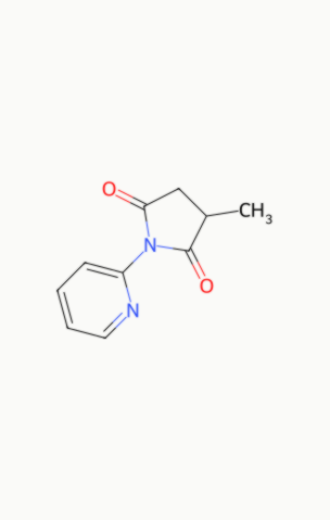 CC1CC(=O)N(c2ccccn2)C1=O